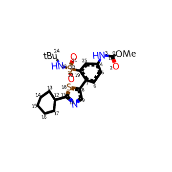 COC(=O)Nc1ccc(-c2cnc(C3CCCCC3)s2)c(S(=O)(=O)NC(C)(C)C)c1